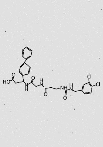 O=C(O)CC(NC(=O)CNC(=O)CCNC(=O)NCc1ccc(Cl)c(Cl)c1)c1ccc(-c2ccccc2)cc1